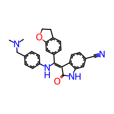 CN(C)Cc1ccc(N/C(=C2\C(=O)Nc3cc(C#N)ccc32)c2ccc3c(c2)OCC3)cc1